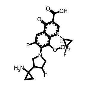 COc1c(N2CC(F)C(C3(N)CC3)C2)c(F)cc2c(=O)c(C(=O)O)cn([C@@H]3C[C@H]3F)c12